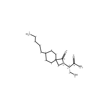 CCCCCC1CCC2(CC1)CN([C@@H](CO)C(N)=O)C2=O